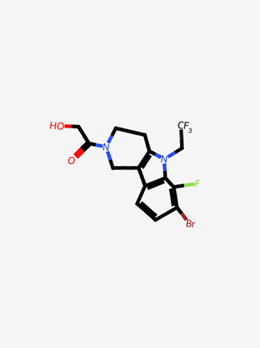 O=C(CO)N1CCc2c(c3ccc(Br)c(F)c3n2CC(F)(F)F)C1